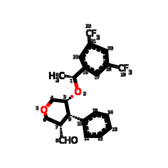 C[C@@H](O[C@H]1COC[C@@H](C=O)[C@H]1c1ccccc1)c1cc(C(F)(F)F)cc(C(F)(F)F)c1